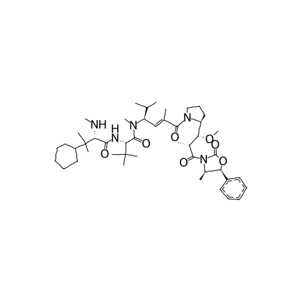 CN[C@H](C(=O)N[C@H](C(=O)N(C)[C@H](/C=C(\C)C(=O)N1CCC[C@H]1[C@H](OC)[C@@H](C)C(=O)N1C(=O)O[C@@H](c2ccccc2)[C@H]1C)C(C)C)C(C)(C)C)C(C)(C)C1CCCCC1